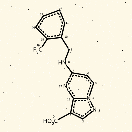 O=C(O)c1cnn2ccc(NCc3ccccc3C(F)(F)F)nc12